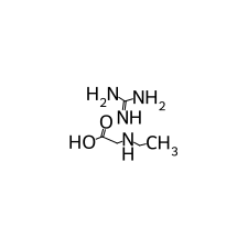 CCNCC(=O)O.N=C(N)N